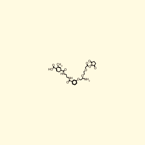 CC1=CC(C(=O)NCCNC(=O)c2cccc(OCC(N)OCCOCC(=O)ON3C(=O)CCC3=O)c2)CC=C1C(=O)O